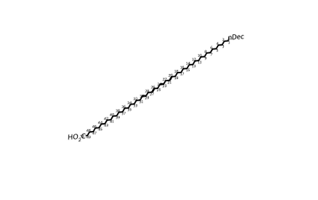 CCCCCCCCCCCCCCCCCCCCCCCCCCCCCC=CCC=CCC=CCC=CCCCCCCCCCCCCCCCCCCCC(=O)O